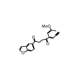 C#C/C=C(\C=C(/C)OC)C(=O)CCC(=O)c1ccc2occc2c1